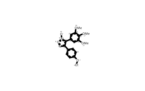 CCOc1ccc(-c2no[n+]([O-])c2-c2cc(OC)c(OC)c(OC)c2)cc1